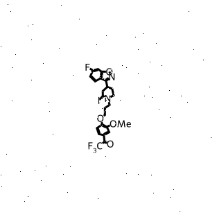 COc1cc(C(=O)C(F)(F)F)ccc1OCCCN1CCC(c2noc3cc(F)ccc23)CC1I